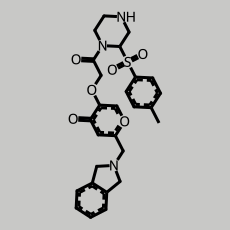 Cc1ccc(S(=O)(=O)C2CNCCN2C(=O)COc2coc(CN3Cc4ccccc4C3)cc2=O)cc1